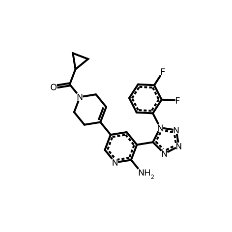 Nc1ncc(C2=CCN(C(=O)C3CC3)CC2)cc1-c1nnnn1-c1cccc(F)c1F